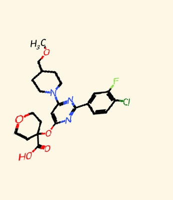 COCC1CCN(c2cc(OC3(C(=O)O)CCOCC3)nc(-c3ccc(Cl)c(F)c3)n2)CC1